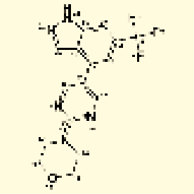 FC(F)(F)c1cc(-c2cnc(N3CCOCC3)nc2)c2cn[nH]c2c1